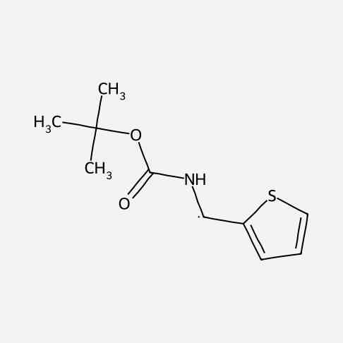 CC(C)(C)OC(=O)N[CH]c1cccs1